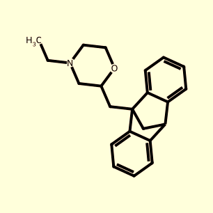 CCN1CCOC(CC23CC(c4ccccc42)c2ccccc23)C1